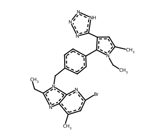 CCc1nc2c(C)cc(Br)nc2n1Cc1ccc(-c2c(-c3nnn[nH]3)cc(C)n2CC)cc1